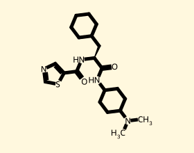 CN(C)C1CCC(NC(=O)[C@H](CC2CCCCC2)NC(=O)c2cncs2)CC1